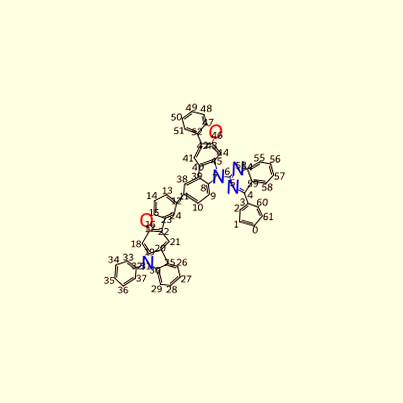 c1ccc(-c2nc(-n3c4ccc(-c5ccc6oc7cc8c(cc7c6c5)c5ccccc5n8-c5ccccc5)cc4c4cc5c(cc43)oc3ccccc35)nc3ccccc23)cc1